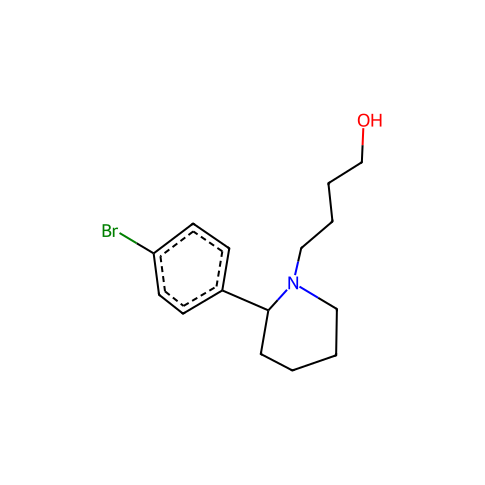 OCCCCN1CCCCC1c1ccc(Br)cc1